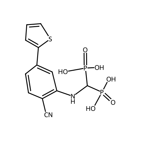 N#Cc1ccc(-c2cccs2)cc1NC(P(=O)(O)O)P(=O)(O)O